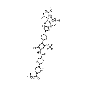 COC(=O)N[C@H](C(=O)N1[C@@H]2C[C@@H]2CC[C@H]1c1nc(-c2ccc(-c3cc(Cl)c(NC(=O)C4=CN=C(N5CCN(C(=O)[C@H]6CC6(C)C)C[C@H]5C)CC4)cc3OC(F)(F)F)cc2)c[nH]1)C(C)C